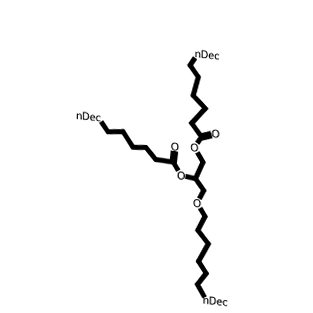 CCCCCCCCCCCCCCCCOCC(COC(=O)CCCCCCCCCCCCCCC)OC(=O)CCCCCCCCCCCCCCC